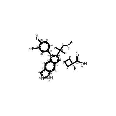 COCC(C)(C)c1c([C@H]2C[C@](F)(C(=O)O)C2)c2cc3[nH]ncc3cc2n1-c1ccc(F)c(F)c1